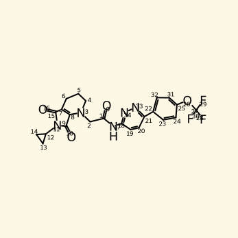 O=C(CN1CCCC2=C1C(=O)N(C1CC1)C2=O)Nc1ccc(-c2ccc(OC(F)(F)F)cc2)nn1